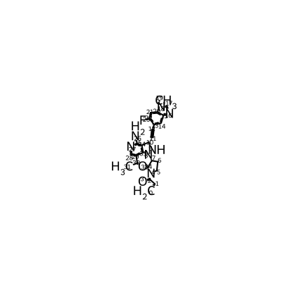 C=CC(=O)N1CC[C@H](N2N[C@@H](C#Cc3cc4ncn(C)c4cc3F)c3c(N)ncc(C(C)=O)c32)C1